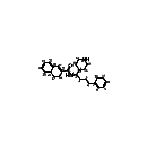 O=C(NC(CCCc1ccccc1)N1CCNCC1)C1=Cc2ccccc2CC1